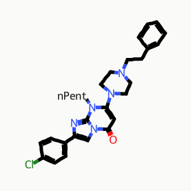 CCCCCn1c(N2CCN(CCc3ccccc3)CC2)cc(=O)n2cc(-c3ccc(Cl)cc3)nc12